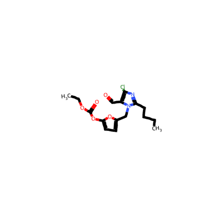 CCCCc1nc(Cl)c(C=O)n1Cc1ccc(OC(=O)OCC)o1